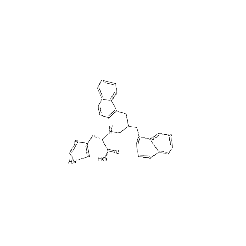 O=C(O)[C@H](Cc1c[nH]cn1)NCC(Cc1cccc2ccccc12)Cc1cccc2ccccc12